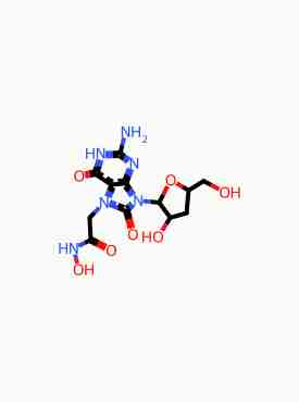 Nc1nc2c(c(=O)[nH]1)n(CC(=O)NO)c(=O)n2C1OC(CO)CC1O